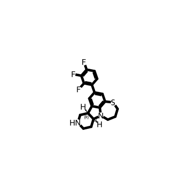 Fc1ccc(-c2cc3c4c(c2)[C@@H]2CNCC[C@@H]2N4CCCS3)c(F)c1F